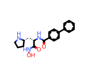 O=C(N[C@@H](C[C@@H]1CCCN1)C(=O)NO)c1ccc(-c2ccccc2)cc1